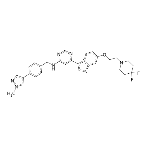 Cn1cc(-c2ccc(CNc3cc(-c4cnc5cc(OCCN6CCC(F)(F)CC6)ccn45)ncn3)cc2)cn1